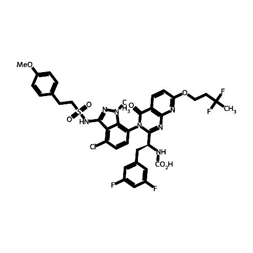 COc1ccc(CCS(=O)(=O)Nc2nn(C)c3c(-n4c([C@H](Cc5cc(F)cc(F)c5)NC(=O)O)nc5nc(OCCC(C)(F)F)ccc5c4=O)ccc(Cl)c23)cc1